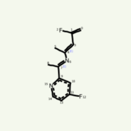 C=C(F)/C=C(C)/N=C(\C)c1cc(F)ccn1